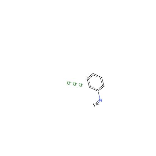 [Cl-].[Cl-].[Cl-].[V+3]=[N]c1ccccc1